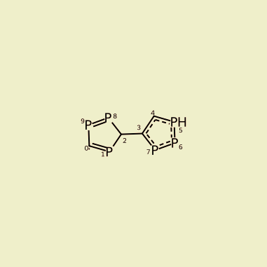 [C]1=PC(c2c[pH]pp2)P=P1